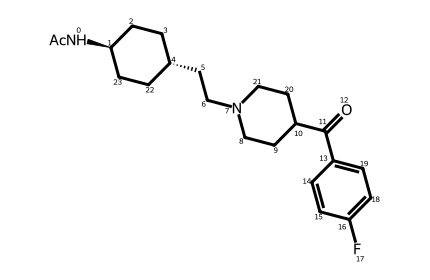 CC(=O)N[C@H]1CC[C@H](CCN2CCC(C(=O)c3ccc(F)cc3)CC2)CC1